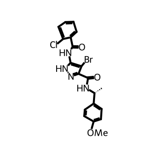 COc1ccc([C@@H](C)NC(=O)c2n[nH]c(NC(=O)c3ccccc3Cl)c2Br)cc1